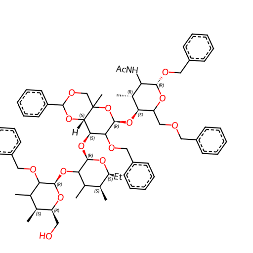 CC[C@@H]1O[C@H](O[C@@H]2C(OCc3ccccc3)[C@H](O[C@@H]3C(COCc4ccccc4)O[C@@H](OCc4ccccc4)C(NC(C)=O)[C@H]3C)OC3(C)COC(c4ccccc4)O[C@@H]23)C(O[C@H]2O[C@@H](CO)[C@@H](C)C(C)C2OCc2ccccc2)C(C)[C@@H]1C